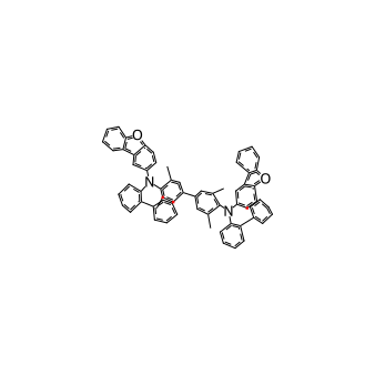 Cc1cc(-c2cc(C)c(N(c3ccc4oc5ccccc5c4c3)c3ccccc3-c3ccccc3)c(C)c2)cc(C)c1N(c1ccc2oc3ccccc3c2c1)c1ccccc1-c1ccccc1